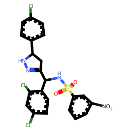 O=[N+]([O-])c1cccc(S(=O)(=O)NC(C2=NNC(c3ccc(Cl)cc3)C2)c2ccc(Cl)cc2Cl)c1